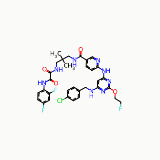 CC(C)(CNC(=O)C(=O)Nc1ccc(F)cc1F)CNC(=O)c1ccc(Nc2cc(NCc3ccc(Cl)cc3)nc(OCCF)n2)nc1